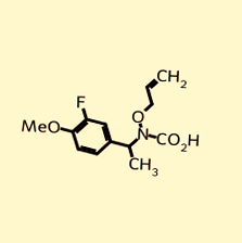 C=CCON(C(=O)O)C(C)c1ccc(OC)c(F)c1